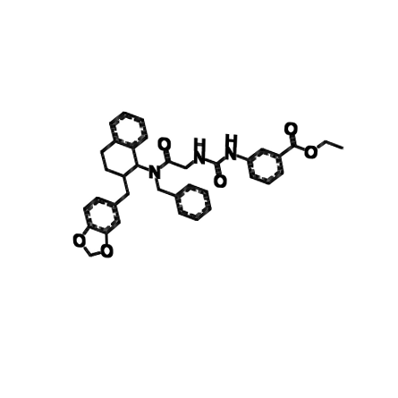 CCOC(=O)c1cccc(NC(=O)NCC(=O)N(Cc2ccccc2)C2c3ccccc3CCC2Cc2ccc3c(c2)OCO3)c1